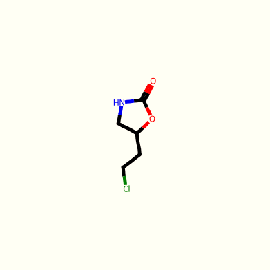 O=C1NCC(CCCl)O1